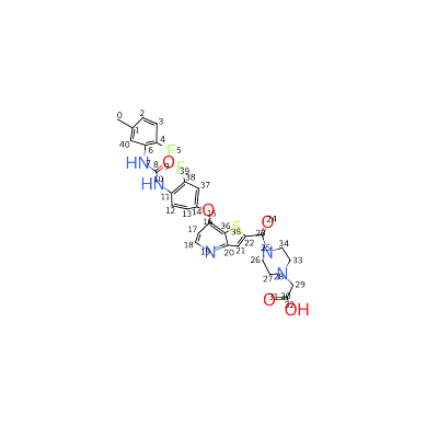 Cc1ccc(F)c(NC(=O)Nc2ccc(Oc3ccnc4cc(C(=O)N5CCN(CC(=O)O)CC5)sc34)cc2F)c1